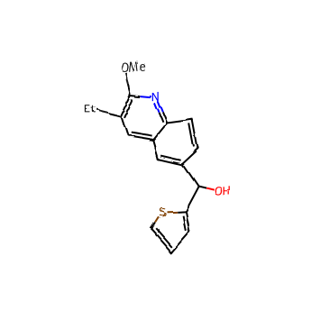 CCc1cc2cc(C(O)c3cccs3)ccc2nc1OC